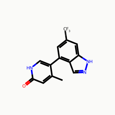 Cc1cc(=O)[nH]cc1-c1cc(C(F)(F)F)cc2[nH]ncc12